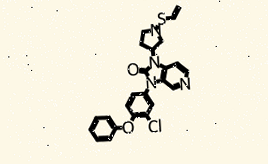 C=CSN1CCC(n2c(=O)n(-c3ccc(Oc4ccccc4)c(Cl)c3)c3cnccc32)C1